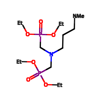 CCOP(=O)(CN(CCCNC)CP(=O)(OCC)OCC)OCC